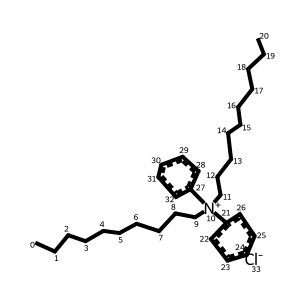 CCCCCCCCCC[N+](CCCCCCCCCC)(c1ccccc1)c1ccccc1.[Cl-]